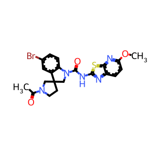 COc1ccc2nc(NC(=O)N3CC4(CCN(C(C)=O)C4)c4cc(Br)ccc43)sc2n1